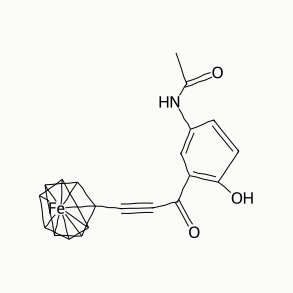 CC(=O)Nc1ccc(O)c(C(=O)C#C[C]23[CH]4[CH]5[CH]6[CH]2[Fe]56432789[CH]3[CH]2[CH]7[CH]8[CH]39)c1